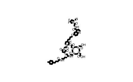 Cc1ccc(CCCC(=O)NCCCC[C@@H](CSC2CC(=O)N(CC(=O)N3CCC(CCCCOc4ccc5nccc(C(=O)NCC(=O)N6CC(F)(F)C[C@@H]6C#N)c5c4)CC3)C2=O)NC(=O)CN2CCN(CC(=O)O)CCN(CC(=O)O)CCN(CC(=O)O)CC2)cc1